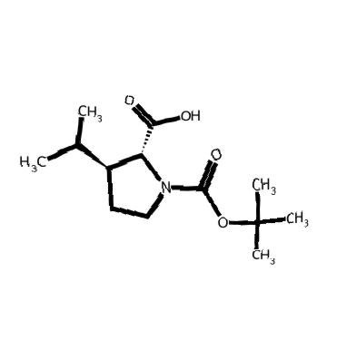 CC(C)[C@@H]1CCN(C(=O)OC(C)(C)C)[C@H]1C(=O)O